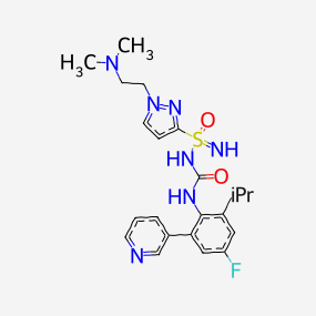 CC(C)c1cc(F)cc(-c2cccnc2)c1NC(=O)NS(=N)(=O)c1ccn(CCN(C)C)n1